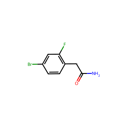 NC(=O)[CH]c1ccc(Br)cc1F